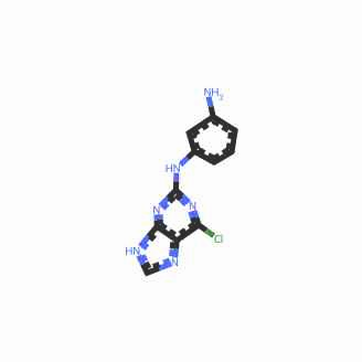 Nc1cccc(Nc2nc(Cl)c3nc[nH]c3n2)c1